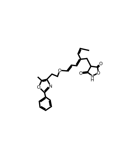 C\C=C/C(=C\C=C\OCCc1nc(-c2ccccc2)oc1C)CC1C(=O)NOC1=O